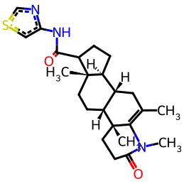 CC1=C2N(C)C(=O)CC[C@]2(C)[C@@H]2CC[C@]3(C)C(C(=O)Nc4cscn4)CC[C@H]3[C@@H]2C1